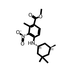 COC(=O)c1ccc(N[C@@H]2C[C@@H](C)CC(C)(C)C2)c([N+](=O)[O-])c1C